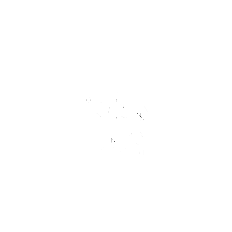 O=CN1CCC(n2c(=O)n(Cc3ccn(Cc4ccc(Cl)c(Cl)c4)n3)c(=O)c3cc(OC(CF)CF)c(F)cc32)CC1